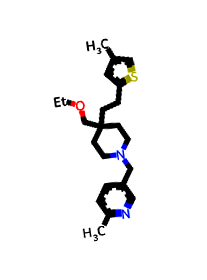 CCOCC1(CCc2cc(C)cs2)CCN(Cc2ccc(C)nc2)CC1